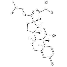 C[S+]([O-])COC(=O)[C@@]1(OC(=O)C(Cl)Cl)CC[C@H]2[C@@H]3CCC4=CC(=O)C=C[C@]4(C)[C@H]3[C@@H](O)C[C@@]21C